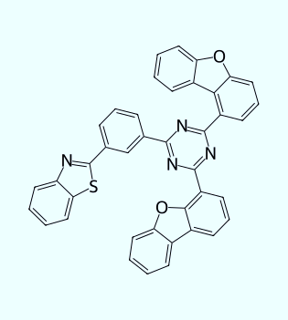 c1cc(-c2nc(-c3cccc4c3oc3ccccc34)nc(-c3cccc4oc5ccccc5c34)n2)cc(-c2nc3ccccc3s2)c1